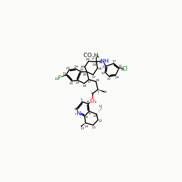 C[C@@H](COc1ccnc2c1[C@H](C)CC[C@H]2C)CC1Cc2cc(F)ccc2C12CCC(Nc1cccc(Cl)c1)(C(=O)O)CC2